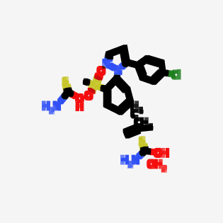 C.C.C#CC.CS(=O)(=O)c1ccccc1-n1nccc1-c1ccc(Cl)cc1.NC(O)=S.NC(O)=S.O